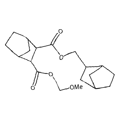 COCOC(=O)C1C2CCC(C2)C1C(=O)OCC1CC2CCC1C2